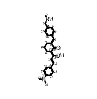 CNCc1ccc(/C=C2\CCC/C(=C(O)\C=C\c3ccc(N(C)C)cc3)C2=O)cc1